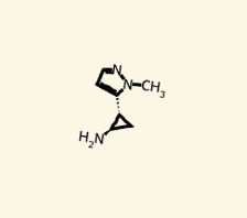 Cn1nccc1[C@@H]1C[C@H]1N